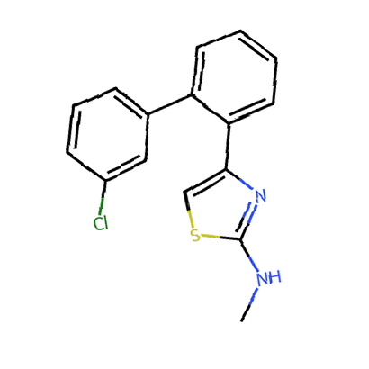 CNc1nc(-c2ccccc2-c2cccc(Cl)c2)cs1